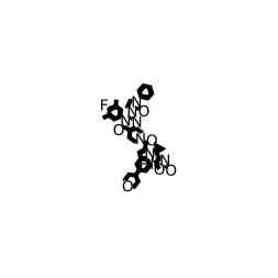 Cc1cc(-n2c(N3CCN(c4ccccc4)C3=O)nc3c(c2=O)CCN(C(=O)c2cc4cc(C5CCOCC5)ccc4n2C2(c4nc(=O)o[nH]4)CC2)C3)cc(C)c1F